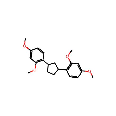 COc1ccc(C2CCC(c3ccc(OC)cc3OC)C2)c(OC)c1